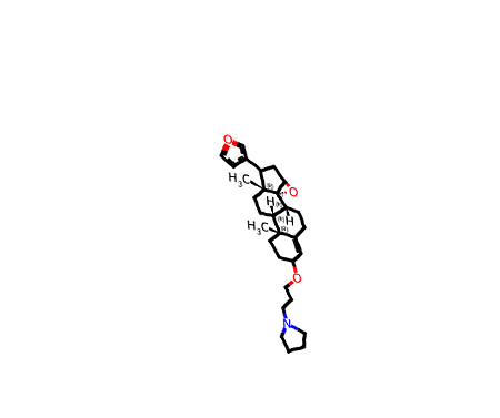 C[C@]12CCC(OCCCN3CCCC3)C=C1CC[C@@H]1[C@H]2CC[C@]2(C)C(c3ccoc3)CC3O[C@]312